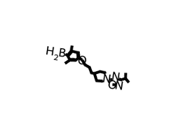 Bc1c(C)cc(OCCCC2CCN(c3nc(C(C)C)no3)CC2)cc1C